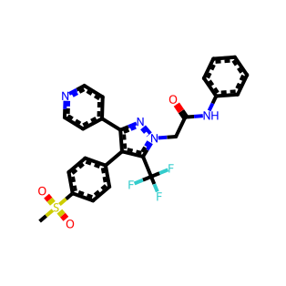 CS(=O)(=O)c1ccc(-c2c(-c3ccncc3)nn(CC(=O)Nc3ccccc3)c2C(F)(F)F)cc1